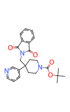 CC(C)(C)OC(=O)N1CCC(CN2C(=O)c3ccccc3C2=O)(c2cccnc2)CC1